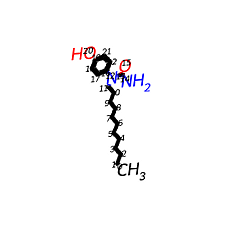 CCCCCCCCCCCCN(C(N)=O)c1ccc(O)cc1